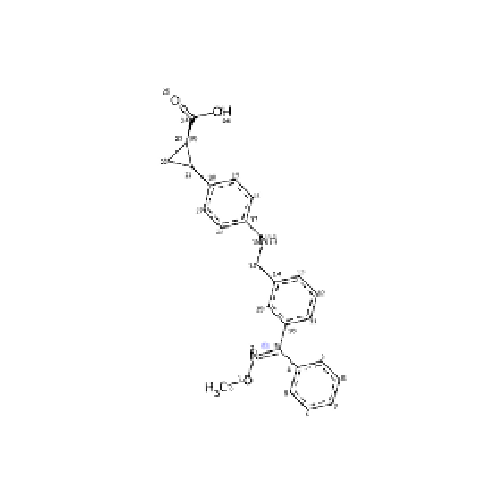 CO/N=C(\c1ccccc1)c1cccc(CNc2ccc(C3C[C@H]3C(=O)O)cc2)c1